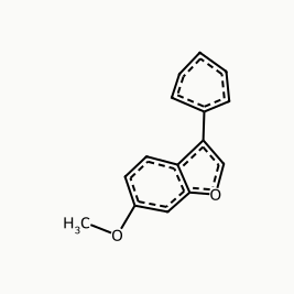 COc1ccc2c(-c3ccccc3)coc2c1